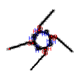 C#CC#CC#CC#CC#CC#CC#CC#COC(=O)Cc1cc2c(O)c(c1)CNC1CCCCC1NCc1cc(CC(=O)OC#CC#CC#CC#CC#CC#CC#CC#C)cc(c1O)CNC1CCCCC1NCc1cc(CC(=O)OC#CC#CC#CC#CC#CC#CC#CC#C)cc(c1O)CNC1CCCCC1NCc1cc(CC(=O)OCC#CC#CC#CC#CC#CC#CC#CC)cc(c1C)CNC1CCCCC1CC2